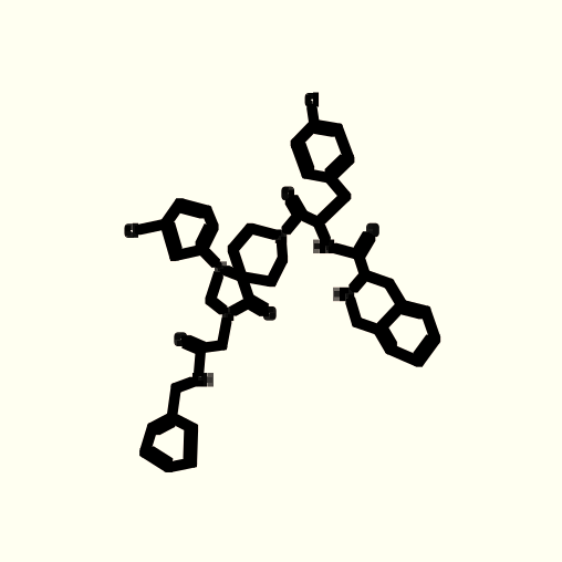 O=C(CN1CN(c2cccc(Cl)c2)C2(CCN(C(=O)C(Cc3ccc(Cl)cc3)NC(=O)C3Cc4ccccc4CN3)CC2)C1=O)NCc1ccccc1